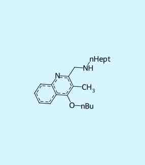 CCCCCCCNCc1nc2ccccc2c(OCCCC)c1C